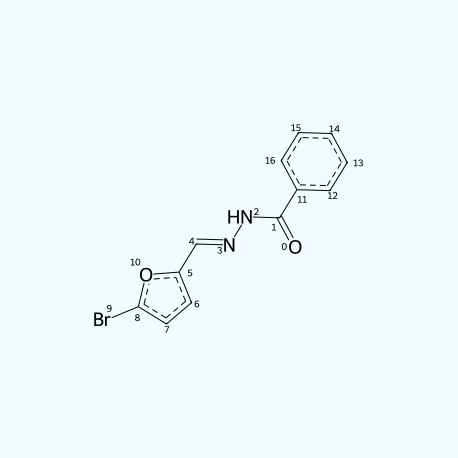 O=C(N/N=C/c1ccc(Br)o1)c1ccccc1